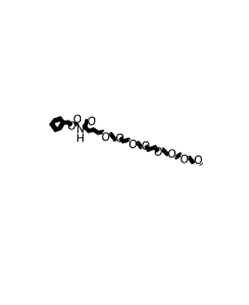 COCCOCCOCCOCCOCCOCCOCCOCCCCC(C=O)NC(=O)OCc1ccccc1